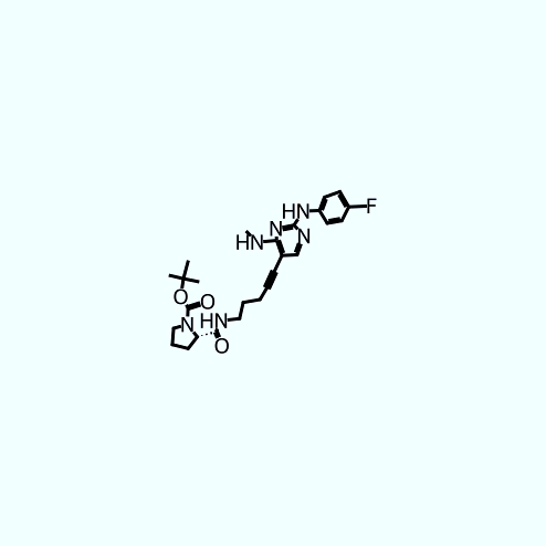 CNc1nc(Nc2ccc(F)cc2)ncc1C#CCCCNC(=O)[C@@H]1CCCN1C(=O)OC(C)(C)C